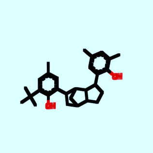 Cc1cc(C)c(O)c(C2CCC3C4CC(c5cc(C)cc(C(C)(C)C)c5O)C(C4)C23)c1